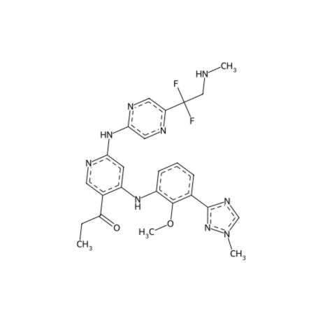 CCC(=O)c1cnc(Nc2cnc(C(F)(F)CNC)cn2)cc1Nc1cccc(-c2ncn(C)n2)c1OC